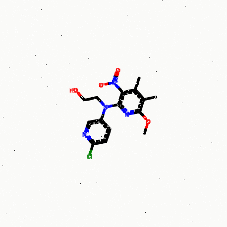 COc1nc(N(CCO)c2ccc(Cl)nc2)c([N+](=O)[O-])c(C)c1C